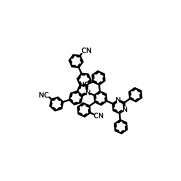 N#Cc1cccc(-c2ccc3c(c2)c2cc(-c4cccc(C#N)c4)ccc2n3-c2c(-c3ccccc3C#N)cc(-c3cc(-c4ccccc4)nc(-c4ccccc4)n3)cc2-c2ccccc2C#N)c1